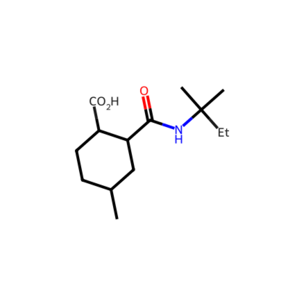 CCC(C)(C)NC(=O)C1CC(C)CCC1C(=O)O